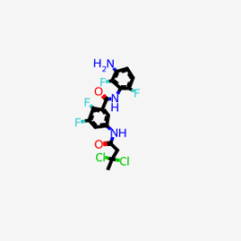 CC(Cl)(Cl)CC(=O)Nc1cc(F)c(F)c(C(=O)Nc2c(F)ccc(N)c2F)c1